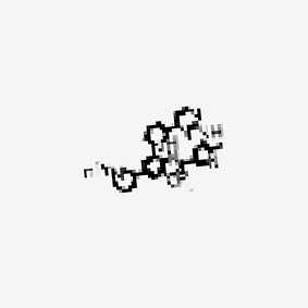 CCCN1CCCC(c2ccc(NC(=O)c3cnc(C)c(Nc4nccc(-c5cccnc5)n4)c3)c(C(F)(F)F)c2)C1